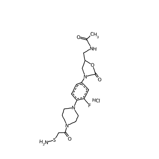 CC(=O)NCC1CN(c2ccc(N3CCN(C(=O)CSN)CC3)c(F)c2)C(=O)O1.Cl